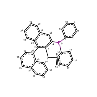 C=CCc1c(P(c2ccccc2)c2ccccc2)cc2ccccc2c1-c1cccc2ccccc12